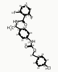 C[C@H](NC(=O)c1c(F)cncc1F)c1ccc(NC(=O)OCc2ccc(Cl)cc2)cc1